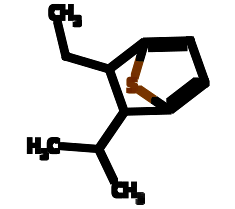 CCC1c2ccc(s2)C1C(C)C